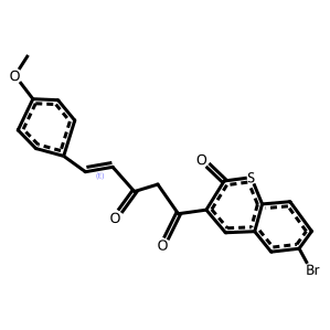 COc1ccc(/C=C/C(=O)CC(=O)c2cc3cc(Br)ccc3sc2=O)cc1